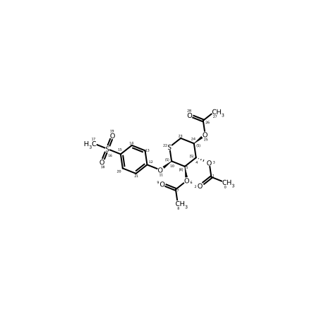 CC(=O)O[C@@H]1[C@@H](OC(C)=O)[C@@H](Oc2ccc(S(C)(=O)=O)cc2)SC[C@H]1OC(C)=O